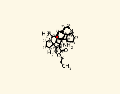 CCCOC(=O)C[C@](N)(CC1CCCCC1)C(=O)[C@@]1(C(N)=O)CCCN1C(N)c1ccc2cnccc2c1